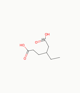 CCC(CCC(=O)O)C[13C](=O)O